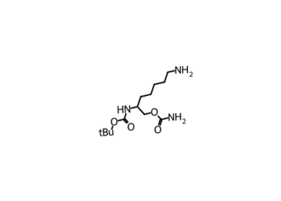 CC(C)(C)OC(=O)NC(CCCCCN)COC(N)=O